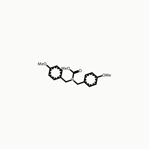 [CH2]OC(=O)N(Cc1ccc(OC)cc1)Cc1ccc(OC)cc1